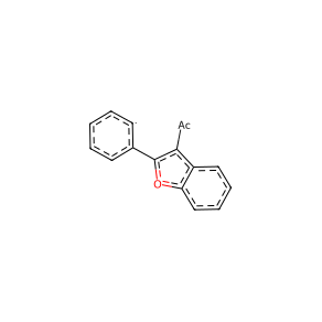 CC(=O)c1c(-c2[c]cccc2)oc2ccccc12